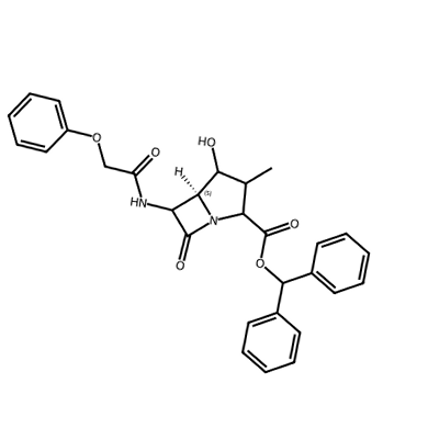 CC1C(O)[C@@H]2C(NC(=O)COc3ccccc3)C(=O)N2C1C(=O)OC(c1ccccc1)c1ccccc1